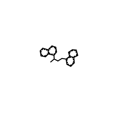 CC([CH]Cc1cccc2ccccc12)c1cccc2ccccc12